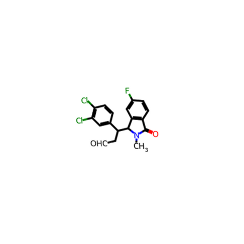 CN1C(=O)c2ccc(F)cc2C1C(CC=O)c1ccc(Cl)c(Cl)c1